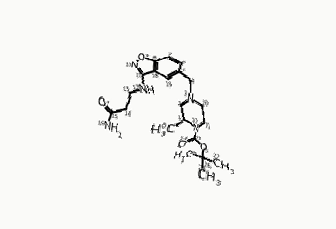 C[C@H]1CN(Cc2ccc3onc(NCCC(N)=O)c3c2)CCN1C(=O)OC(C)(C)C